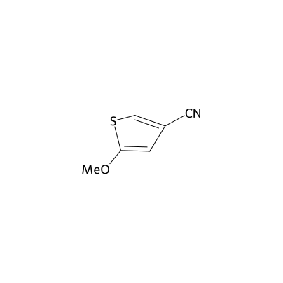 COc1cc(C#N)cs1